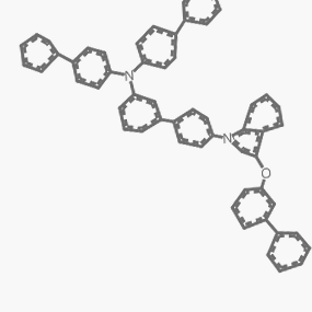 c1ccc(-c2ccc(N(c3ccc(-c4ccccc4)cc3)c3cccc(-c4ccc(-n5cc(Oc6cccc(-c7ccccc7)c6)c6ccccc65)cc4)c3)cc2)cc1